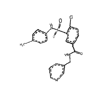 Cc1ccc(NS(=O)(=O)c2cc(C(=O)NCc3cccnc3)ccc2Cl)cc1